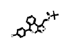 C=S(/N=C/c1onc(C)c1-c1ccccc1C(=O)c1ccc(Cl)cc1)C(C)(C)C